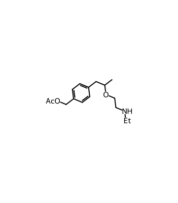 CCNCCOC(C)Cc1ccc(COC(C)=O)cc1